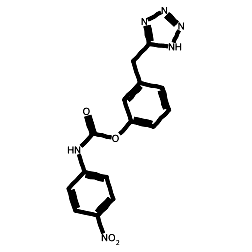 O=C(Nc1ccc([N+](=O)[O-])cc1)Oc1cccc(Cc2nnn[nH]2)c1